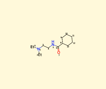 CCN(CC)CCNC(=O)C1CCCCC1